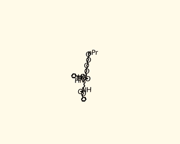 CCCOCCOCCOCCOCCNC(=O)[C@H](CCCCNC(=O)OCc1ccccc1)NC(=O)OCc1ccccc1